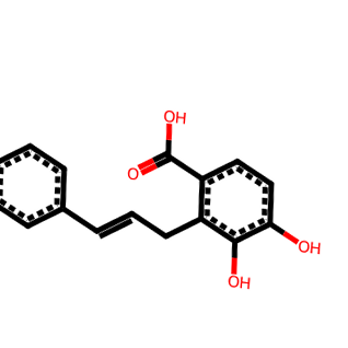 O=C(O)c1ccc(O)c(O)c1CC=Cc1ccccc1